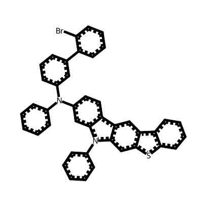 Brc1ccccc1-c1cccc(N(c2ccccc2)c2ccc3c4cc5c(cc4n(-c4ccccc4)c3c2)sc2ccccc25)c1